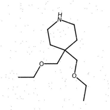 CCOCC1(COCC)CCNCC1